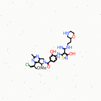 COC1c2c(nc(C)nc2/C(C)=C\Cl)CN1C(=O)c1ccc(Nc2snc(O)c2C(=N)NCCC2CNCCO2)c(O)c1